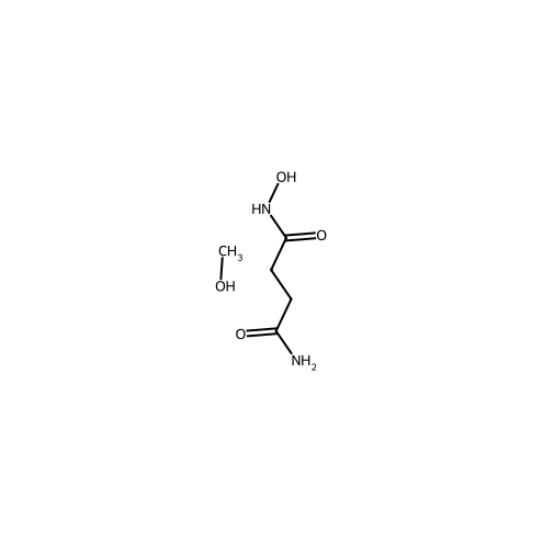 CO.NC(=O)CCC(=O)NO